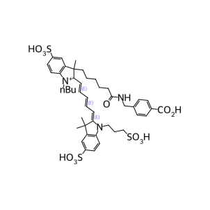 CCCC[N+]1=C(/C=C/C=C/C=C2/N(CCCS(=O)(=O)O)c3ccc(S(=O)(=O)O)cc3C2(C)C)C(C)(CCCCCC(=O)NCc2ccc(C(=O)O)cc2)c2cc(S(=O)(=O)O)ccc21